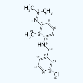 CC(C)=Nc1cccc(NCc2cccc(Cl)c2)c1C